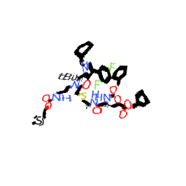 C[C@H](CSCC(=O)N(CCCNC(=O)OCC[Si](C)(C)C)[C@@H](c1cc(-c2cc(F)ccc2F)cn1Cc1ccccc1)C(C)(C)C)NC(=O)[C@H](CCC(=O)OCc1ccccc1)NC(=O)OCc1ccccc1